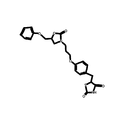 O=C1NC(=O)C(Cc2ccc(OCCCN3CC(COc4ccccc4)OC3=O)cc2)S1